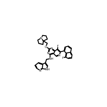 Fc1c(-c2cccc3cccc(F)c23)ncc2c(NCc3c[nH]c4ncccc34)nc(OCC34CCCN3CCC4)nc12